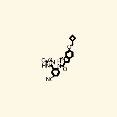 Cn1c(C(=O)Nc2ccc(C#N)cc2-c2noc(=O)[nH]2)cc2ccc(OCC3CCC3)cc21